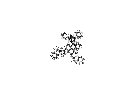 CC1(C)c2ccccc2-c2cc(-c3c4ccccc4c(-c4cc(-c5ccccc5)nc(-c5ccccc5)n4)c4ccc(-c5ccc6c(c5)C(C)(C)c5ccccc5-6)cc34)ccc21